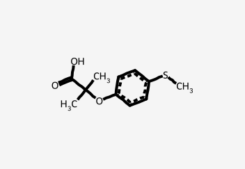 CSc1ccc(OC(C)(C)C(=O)O)cc1